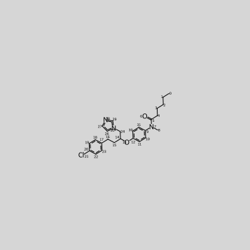 CCCCCC(=O)N(C)c1ccc(OC(CCc2ccc(Cl)cc2)Cn2ccnc2)cc1